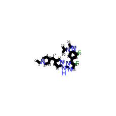 CCN1CCC([C@H](C)c2ccc(Nc3ncc(F)c(-c4cc(F)c5nc(C)n(C(C)C)c5c4)n3)nc2)CC1